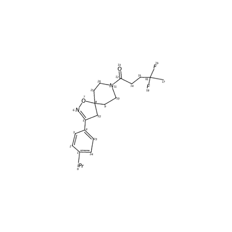 CC(C)c1ccc(C2=NOC3(CCN(C(=O)CCC(C)(F)F)CC3)C2)cc1